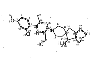 COc1ccc(-c2nc(CO)c(N3CCC4(CC3)Cc3ncccc3[C@H]4N)nc2C)c(Cl)c1